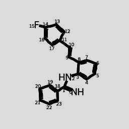 N=C(Nc1ccccc1/C=C/c1ccc(F)cc1)c1ccccc1